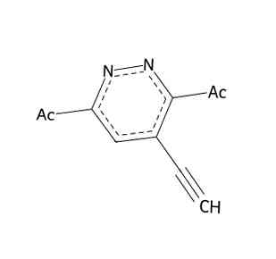 C#Cc1cc(C(C)=O)nnc1C(C)=O